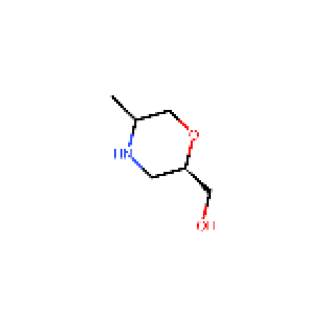 CC1CO[C@@H](CO)CN1